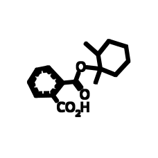 CC1CCCCC1(C)OC(=O)c1ccccc1C(=O)O